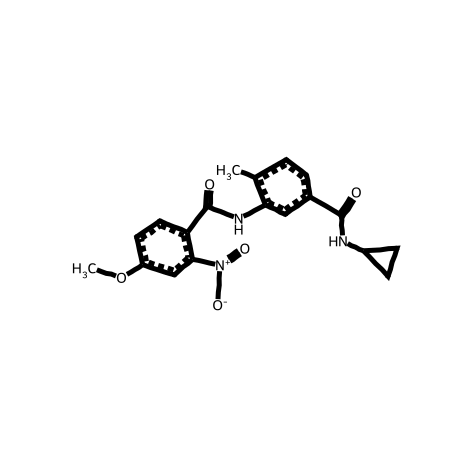 COc1ccc(C(=O)Nc2cc(C(=O)NC3CC3)ccc2C)c([N+](=O)[O-])c1